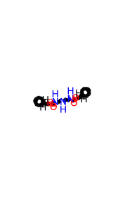 O=C(NCCNCCNC(=O)OCC1[C@H]2CCC#CCC[C@@H]12)OCC1[C@H]2CCC#CCC[C@@H]12